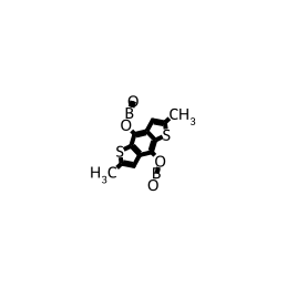 Cc1cc2c(OB=O)c3sc(C)cc3c(OB=O)c2s1